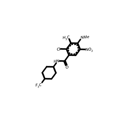 CNc1c([N+](=O)[O-])cc(C(=O)NC2CCC(C(F)(F)F)CC2)c(Cl)c1C